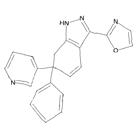 C1=CC(c2ccccc2)(c2cccnc2)Cc2[nH]nc(-c3ncco3)c21